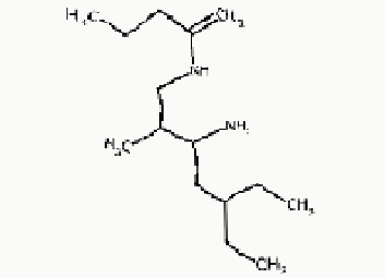 C=C(CCC)NCC(C)C(N)CC(CC)CC